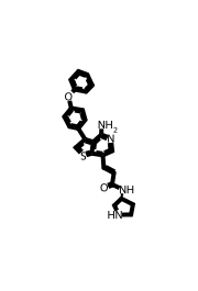 Nc1ncc(C=CC(=O)N[C@H]2CCNC2)c2scc(-c3ccc(Oc4ccccc4)cc3)c12